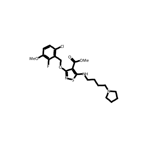 COC(=O)c1c(OCc2c(Cl)ccc(OC)c2F)nsc1NCCCCN1CCCC1